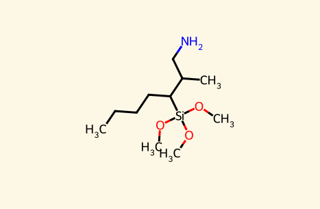 CCCCC(C(C)CN)[Si](OC)(OC)OC